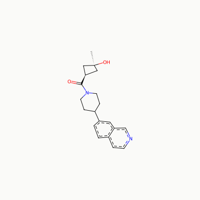 C[C@]1(O)C[C@@H](C(=O)N2CCC(c3ccc4ccncc4c3)CC2)C1